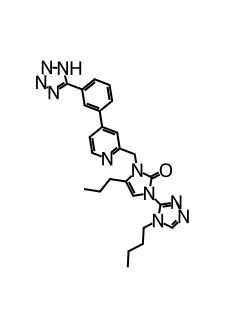 CCCCn1cnnc1-n1cc(CCC)n(Cc2cc(-c3cccc(-c4nnn[nH]4)c3)ccn2)c1=O